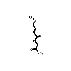 COC/C=C/C(=O)NCC(C)=O